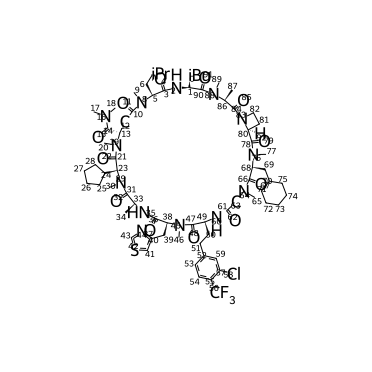 CC[C@H](C)[C@@H]1NC(=O)[C@H](CC(C)C)N(C)C(=O)C[C@@H](C(=O)N(C)C)N(C)C(=O)[C@H](C2CCCC2)N(C)C(=O)[C@H](C)NC(=O)[C@H](Cc2cscn2)N(C)C(=O)[C@H](CCc2ccc(C(F)(F)F)c(Cl)c2)NC(=O)CN(C)C(=O)[C@H](CC2CCCCC2)N(C)C(=O)[C@@H]2CCN2C(=O)[C@H](C)N(C)C1=O